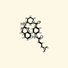 CN(C)C/C=C/C(=O)Nc1ccc(C(=O)N2CCCC(Nc3ncc4ccccc4n3)C2)cc1